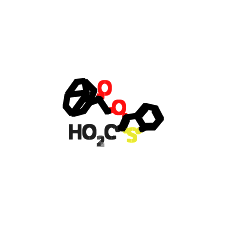 O=C(O)c1sc2ccccc2c1OCC(=O)C12CC3CC(CC(C3)C1)C2